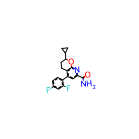 NC(=O)c1cc(-c2ccc(F)cc2F)c2c(n1)OC(C1CC1)CC2